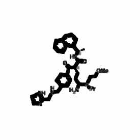 COCCN(C(C)C)C(N)CC[C@H](C(=O)N[C@@H](C)c1cccc2ccccc12)C(=O)c1ccc(CNCc2ncc[nH]2)cc1